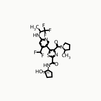 CC1CCCN1C(=O)c1nc(C(=O)N[C@H]2CCC[C@@H]2O)sc1-c1cnc(NC(C)C(F)(F)F)cc1C(F)F